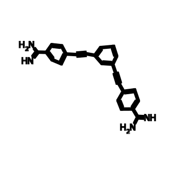 N=C(N)c1ccc(C#Cc2cccc(C#Cc3ccc(C(=N)N)cc3)c2)cc1